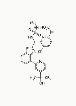 CC(C)(C)NS(=O)(=O)NC(c1cc2cccc(-c3cc([C@](C)(O)C(F)(F)F)ccn3)c2s1)c1nc(NC(=O)O)ccc1Cl